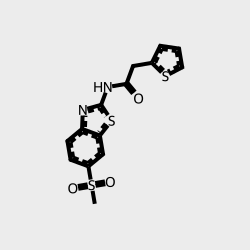 CS(=O)(=O)c1ccc2nc(NC(=O)Cc3cccs3)sc2c1